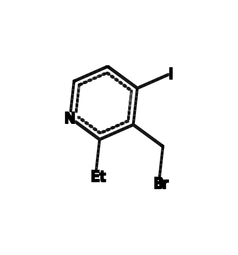 CCc1nccc(I)c1CBr